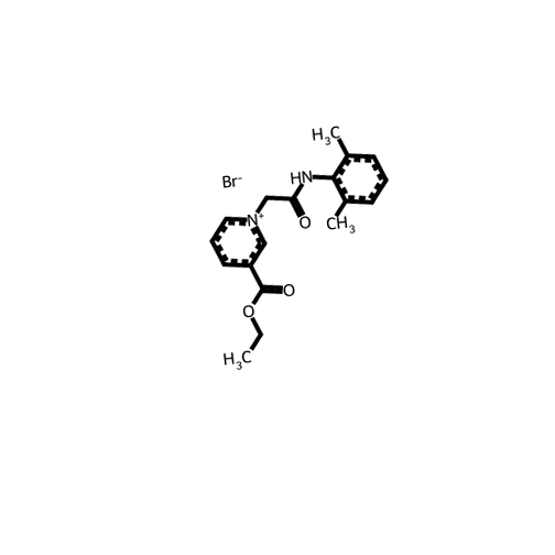 CCOC(=O)c1ccc[n+](CC(=O)Nc2c(C)cccc2C)c1.[Br-]